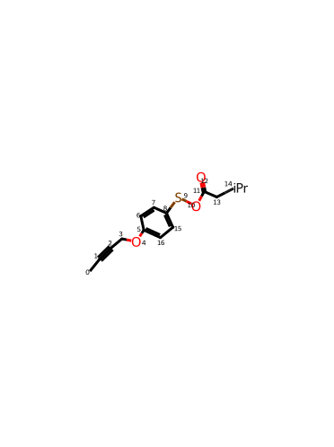 CC#CCOc1ccc(SOC(=O)CC(C)C)cc1